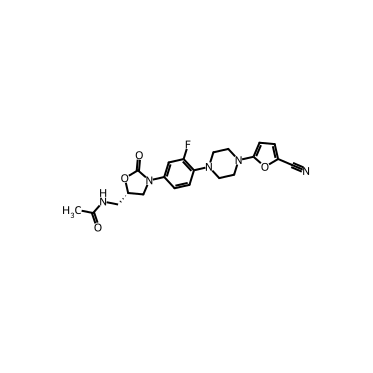 CC(=O)NC[C@H]1CN(c2ccc(N3CCN(c4ccc(C#N)o4)CC3)c(F)c2)C(=O)O1